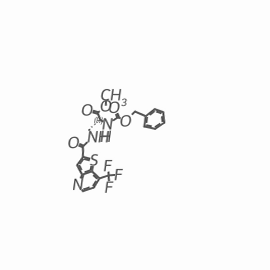 COC(=O)[C@@H](CNC(=O)c1cc2nccc(C(F)(F)F)c2s1)NC(=O)OCc1ccccc1